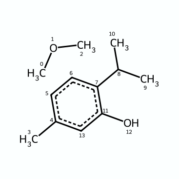 COC.Cc1ccc(C(C)C)c(O)c1